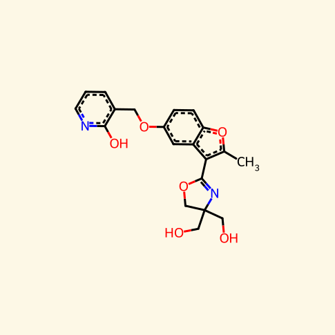 Cc1oc2ccc(OCc3cccnc3O)cc2c1C1=NC(CO)(CO)CO1